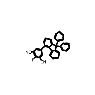 N#Cc1cc(-c2cccc3c2-c2ccccc2C3(c2ccccc2)c2ccccc2)cc(C#N)c1F